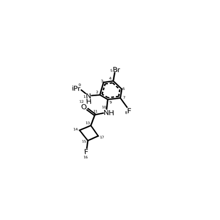 CC(C)Nc1cc(Br)cc(F)c1NC(=O)C1CC(F)C1